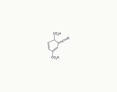 O=C=C1C=C(C(=O)O)C=CC1C(=O)O